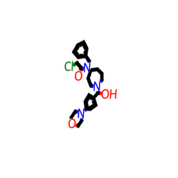 O=C(CCl)N(Cc1ccccc1)C1CCCN(C(O)c2ccc(N3CCOCC3)cc2)CC1